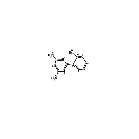 Nc1nc(N)nc(-c2ccccc2Br)n1